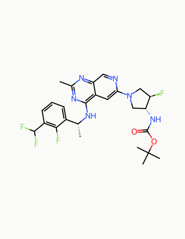 Cc1nc(N[C@H](C)c2cccc(C(F)F)c2F)c2cc(N3C[C@@H](F)[C@H](NC(=O)OC(C)(C)C)C3)ncc2n1